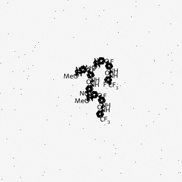 COc1cnc2ccc(Oc3ccc(NC(=O)Nc4ccc(C#N)cc4)cc3F)cc2n1.COc1cnc2ccc(Oc3ccc(NC(=O)Nc4ccc(F)c(C(F)(F)F)c4)cc3F)cc2n1.COc1cnc2ccc(Oc3ccc(NC(=O)Nc4cccc(C(F)(F)F)c4)cc3F)cc2n1